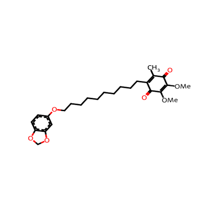 COC1=C(OC)C(=O)C(CCCCCCCCCCOc2ccc3c(c2)OCO3)=C(C)C1=O